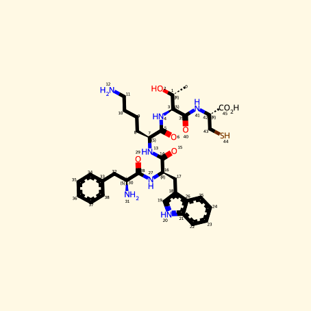 C[C@@H](O)[C@H](NC(=O)[C@H](CCCCN)NC(=O)[C@@H](Cc1c[nH]c2ccccc12)NC(=O)[C@@H](N)Cc1ccccc1)C(=O)N[C@@H](CS)C(=O)O